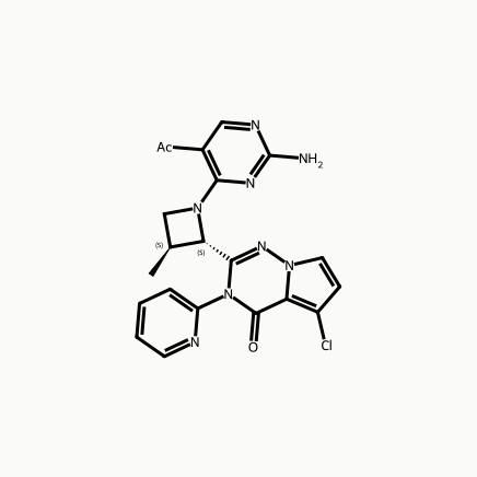 CC(=O)c1cnc(N)nc1N1C[C@H](C)[C@H]1c1nn2ccc(Cl)c2c(=O)n1-c1ccccn1